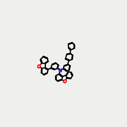 c1ccc(-c2ccc(-c3cccc(N(c4cccc(-c5cccc6oc7ccccc7c56)c4)c4cccc5oc6ccccc6c45)c3)cc2)cc1